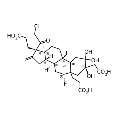 C=C1C[C@H]2[C@@H]3C[C@@H](F)C4(CCC(=O)O)C[C@@](O)(CC(=O)O)C(O)(O)C[C@]4(C)[C@H]3CC[C@]2(C)[C@@]1(CCC(=O)O)C(=O)CCl